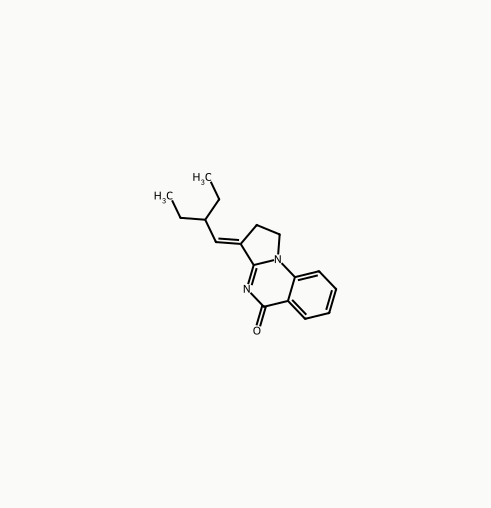 CCC(/C=C1\CCn2c1nc(=O)c1ccccc12)CC